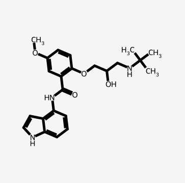 COc1ccc(OCC(O)CNC(C)(C)C)c(C(=O)Nc2cccc3[nH]ccc23)c1